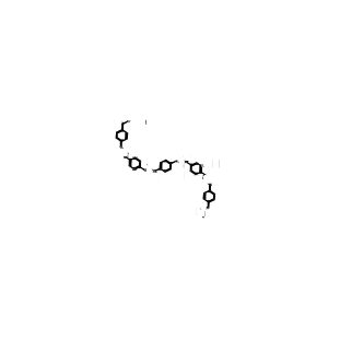 Cc1cc(C(=O)NCc2ccc(C(=O)C(C)C)cc2)ccc1CNC(=O)c1ccc(CNC(=O)c2ccc(CNC(=O)c3ccc(CNC(C)C)cc3)c(C)c2)cc1